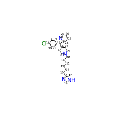 Clc1ccc(C(=C2CCN(CCCCCCc3c[nH]cn3)CC2)c2ccccn2)cc1